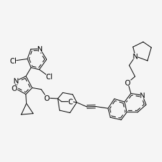 Clc1cncc(Cl)c1-c1noc(C2CC2)c1COC12CCC(C#Cc3ccc4ccnc(OCCN5CCCC5)c4c3)(CC1)CC2